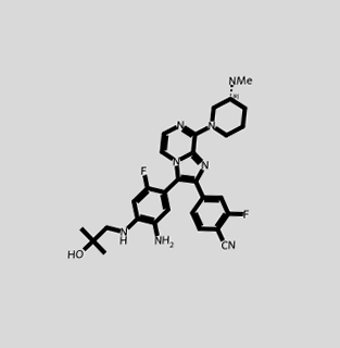 CN[C@@H]1CCCN(c2nccn3c(-c4cc(N)c(NCC(C)(C)O)cc4F)c(-c4ccc(C#N)c(F)c4)nc23)C1